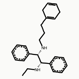 CCN[C@@H](c1ccccc1)[C@@H](NCCCC1=CCC=CC1)c1ccccc1